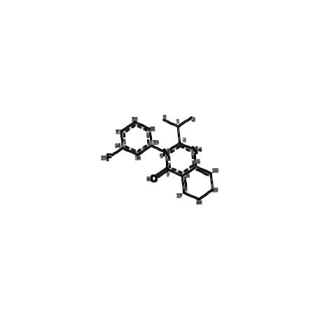 CC(C)c1nc2c(c(=O)n1-c1cccc(F)c1)=CCCC=2